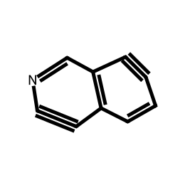 c1ccc2c#cncc2c#1